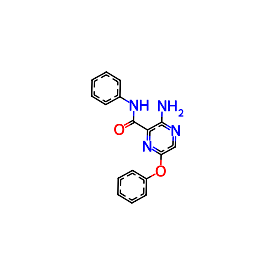 Nc1ncc(Oc2ccccc2)nc1C(=O)Nc1ccccc1